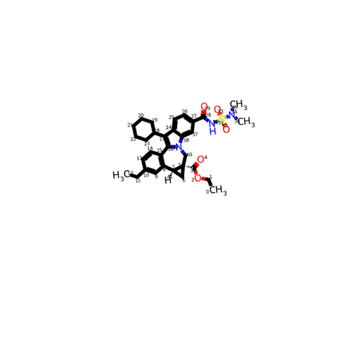 CCOC(=O)[C@]12C[C@H]1c1cc(CC)ccc1-c1c(C3CCCCC3)c3ccc(C(=O)NS(=O)(=O)N(C)C)cc3n1C2